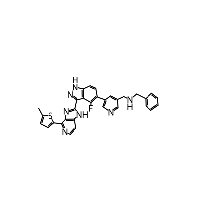 Cc1ccc(-c2nccc3[nH]c(-c4n[nH]c5ccc(-c6cncc(CNCc7ccccc7)c6)c(F)c45)nc23)s1